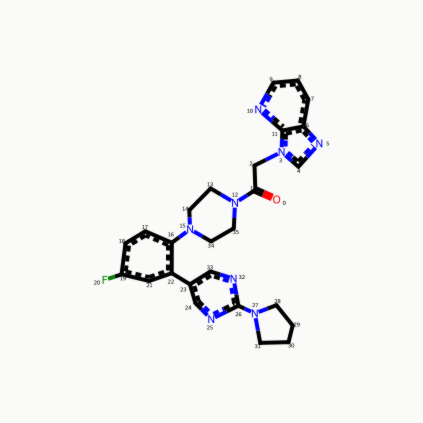 O=C(Cn1cnc2cccnc21)N1CCN(c2ccc(F)cc2-c2cnc(N3CCCC3)nc2)CC1